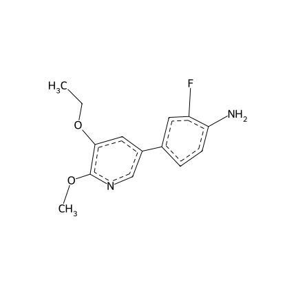 CCOc1cc(-c2ccc(N)c(F)c2)cnc1OC